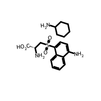 NC1CCCCC1.Nc1ccc(S(=O)(=O)C[C@H](N)C(=O)O)c2ccccc12